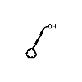 OCC#CC#Cc1ccccc1